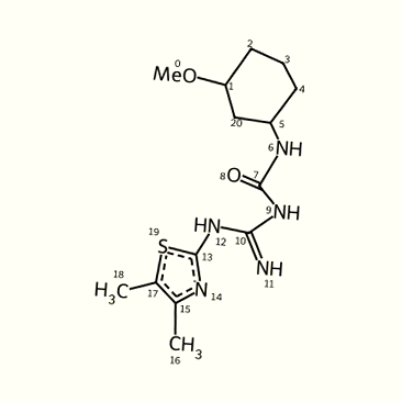 COC1CCCC(NC(=O)NC(=N)Nc2nc(C)c(C)s2)C1